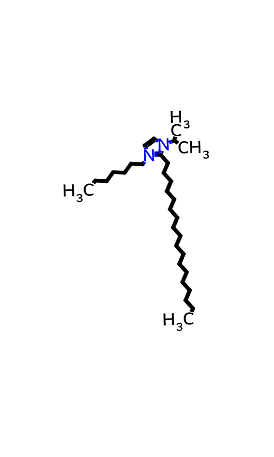 CCCCCCCCCCCCCCCCCCc1n(C(C)C)cc[n+]1CCCCCCC